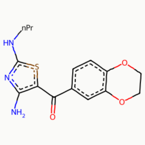 CCCNc1nc(N)c(C(=O)c2ccc3c(c2)OCCO3)s1